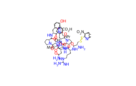 CSCC[C@H](NC(=O)[C@H](CCCNC(=N)N)NC(=O)[C@@H](N)CSSc1ncccc1[N+](=O)[O-])C(=O)N[C@@H](Cc1ccccc1)C(=O)N1CCC[C@H]1C(=O)N[C@@H](CC(N)=O)C(=O)N[C@@H](C)C(=O)N1CCC[C@H]1C(=O)N[C@@H](Cc1ccc(O)cc1)C(=O)N[C@@H](CC(C)C)C(=O)O